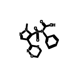 Cn1ncc(C2=NOCCS2)c1S(=O)(=O)N(C(=O)O)c1ccccc1